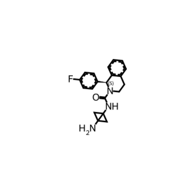 NC12CC1(NC(=O)N1CCc3ccccc3[C@@H]1c1ccc(F)cc1)C2